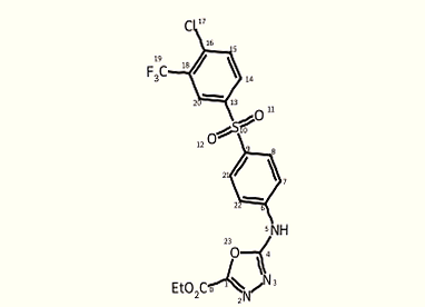 CCOC(=O)c1nnc(Nc2ccc(S(=O)(=O)c3ccc(Cl)c(C(F)(F)F)c3)cc2)o1